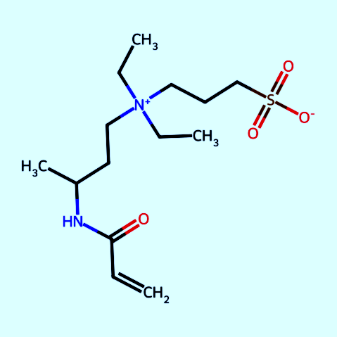 C=CC(=O)NC(C)CC[N+](CC)(CC)CCCS(=O)(=O)[O-]